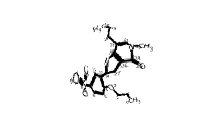 CCCOc1ccc(S(=O)(=O)Cl)cc1C1=Nc2c(CCC)cn(C)c(=O)c2C1